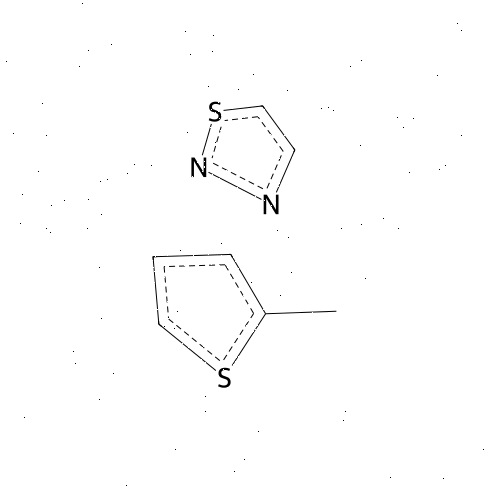 Cc1cccs1.c1csnn1